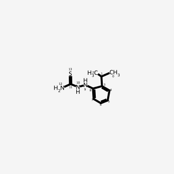 CC(C)c1ccccc1NNC(N)=S